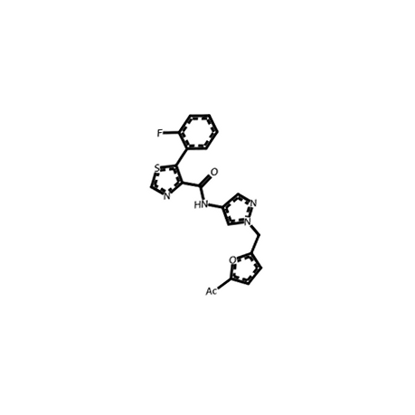 CC(=O)c1ccc(Cn2cc(NC(=O)c3ncsc3-c3ccccc3F)cn2)o1